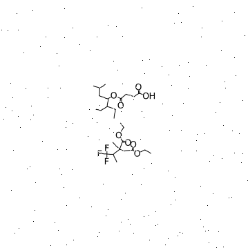 CCC(CC)C(CC(C)C)OC(=O)CCC(=O)O.CCOC(=O)CC(C)(C(=O)OCC)C(C)C(F)(F)F